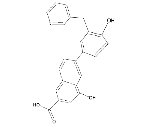 O=C(O)c1cc(O)c2cc(-c3ccc(O)c(Cc4ccccc4)c3)ccc2c1